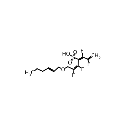 C=C(F)/C(F)=C(\C(F)=C(\F)COC/C=C/CCC)S(=O)(=O)O